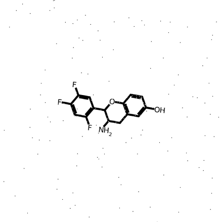 NC1Cc2cc(O)ccc2OC1c1cc(F)c(F)cc1F